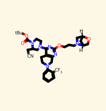 CC(C)(C)OC(=O)N1CCN(c2nc(OCCCN3C[C@H]4C[C@@H]3CO4)nc3c2CCN(c2ccccc2C(F)(F)F)C3)CC1CC#N